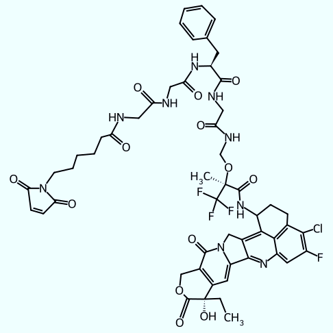 CC[C@@]1(O)C(=O)OCc2c1cc1n(c2=O)Cc2c-1nc1cc(F)c(Cl)c3c1c2C(NC(=O)[C@](C)(OCNC(=O)CNC(=O)[C@H](Cc1ccccc1)NC(=O)CNC(=O)CNC(=O)CCCCCN1C(=O)C=CC1=O)C(F)(F)F)CC3